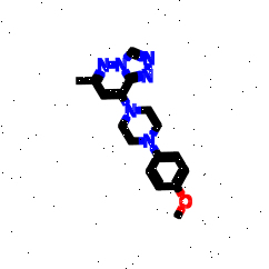 COc1ccc(N2CCN(c3cc(C)nn4cnnc34)CC2)cc1